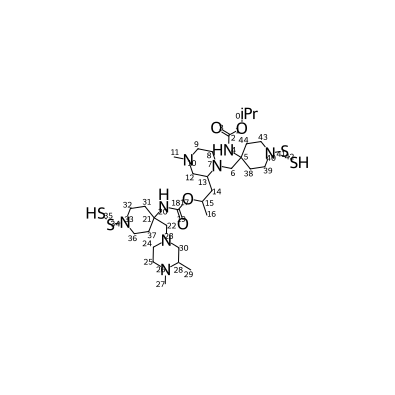 CC(C)OC(=O)NC1(CN2CCN(C)CC2CC(C)OC(=O)NC2(CN3CCN(C)C(C)C3)CCN(SS)CC2)CCN(SS)CC1